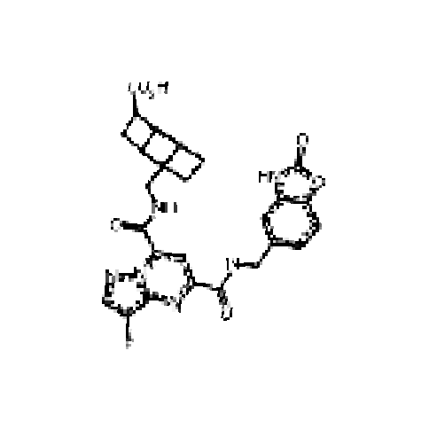 O=C(NCc1ccc2oc(=O)[nH]c2c1)c1cc(C(=O)NCC23C4C5C2C2C3C4C52C(=O)O)n2ncc(F)c2n1